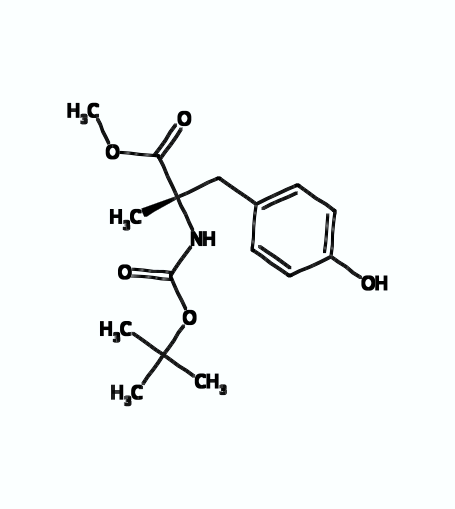 COC(=O)[C@](C)(Cc1ccc(O)cc1)NC(=O)OC(C)(C)C